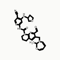 CC1OC=CC=CN1Cc1cc2c(nc1C=O)N(C(=O)Nc1cc(NC3CCOC3)c(C#N)cn1)CCC2